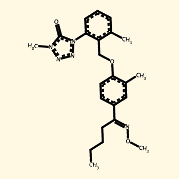 CCCCC(=NOC)c1ccc(OCc2c(C)cccc2-n2nnn(C)c2=O)c(C)c1